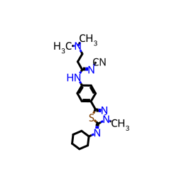 CN(C)CCC(=NC#N)Nc1ccc(-c2nn(C)c(=NC3CCCCC3)s2)cc1